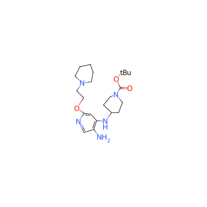 CC(C)(C)OC(=O)N1CCC(Nc2cc(OCCN3CCCCC3)ncc2N)CC1